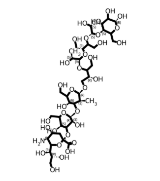 C[C@H](O)[C@H](OC(CO)[C@H](O)CO[C@@H]1OC(CO)[C@H](O)C(O[C@@H]2OC(CO)[C@H](O)C(O[C@]3(C(=O)O)C[C@@H](O)[C@@H](N)C([C@H](O)[C@H](O)CO)O3)[C@@H]2O)[C@@H]1C)O[C@H](CO)C(CO)O[C@@H](O[C@@H]1C(CO)O[C@@H](O)C(O)C1O)[C@H](C)O